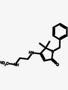 CC1(C)C(NCCNC(=O)O)=CC(=O)N1Cc1ccccc1